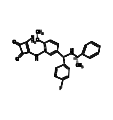 COc1ccc(C(N[C@@H](C)c2ccccc2)c2ccc(F)cc2)cc1Nc1c(N)c(=O)c1=O